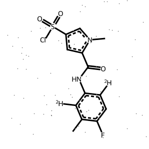 [2H]c1cc(F)c(C)c([2H])c1NC(=O)c1cc(S(=O)(=O)Cl)cn1C